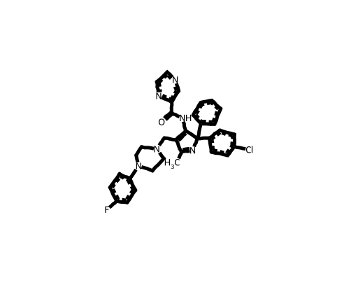 CC1=NC(c2ccccc2)(c2ccc(Cl)cc2)C(NC(=O)c2cnccn2)=C1CN1CCN(c2ccc(F)cc2)CC1